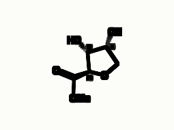 COC(=O)[C@@H]1OC[C@@H](O)[C@H]1O